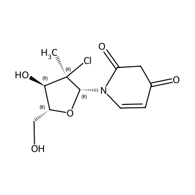 C[C@@]1(Cl)[C@H](O)[C@@H](CO)O[C@H]1N1C=CC(=O)CC1=O